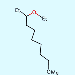 [CH2]CC(CCCCCCOC)OCC